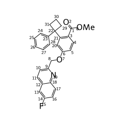 COC(=O)c1ccc(OCc2ccc3cc(F)ccc3n2)cc1C1(c2ccccc2)CCC1